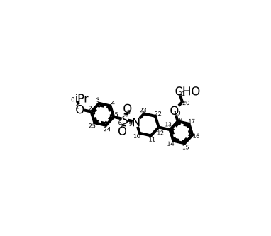 CC(C)Oc1ccc(S(=O)(=O)N2CCC(c3ccccc3OCC=O)CC2)cc1